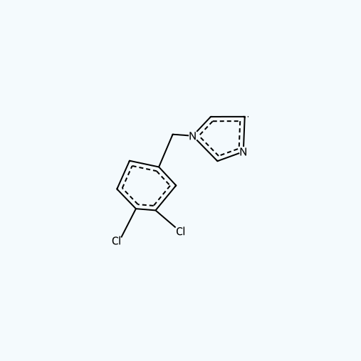 Clc1ccc(Cn2c[c]nc2)cc1Cl